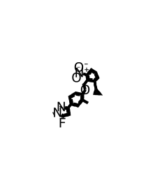 Cc1cc(-c2cc(F)n(C)n2)ccc1OCc1c(C2CC2)cccc1[N+](=O)[O-]